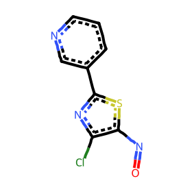 O=Nc1sc(-c2cccnc2)nc1Cl